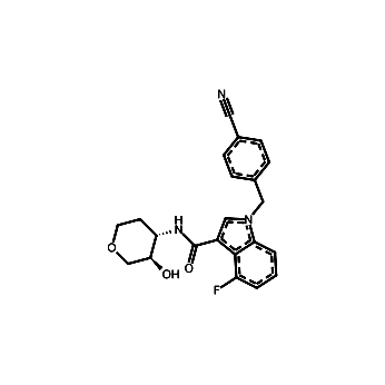 N#Cc1ccc(Cn2cc(C(=O)N[C@H]3CCOC[C@@H]3O)c3c(F)cccc32)cc1